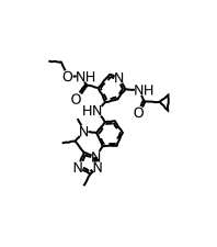 CCONC(=O)c1cnc(NC(=O)C2CC2)cc1Nc1cccc2c1N(C)C(C)c1nc(C)nn1-2